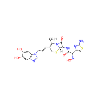 Nc1nc(/C(=N/O)C(=O)NC2C(=O)N3C(C(=O)O)=C(/C=C/Cn4cnc5cc(O)c(O)cc54)CS[C@@H]23)cs1